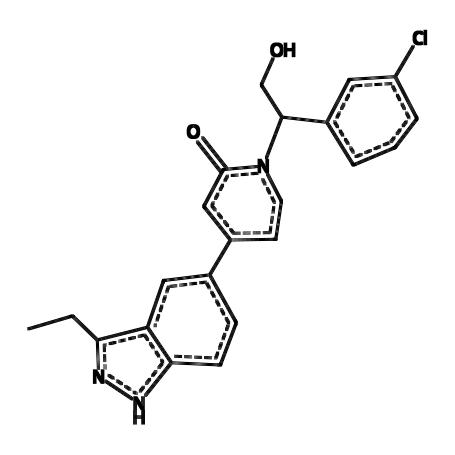 CCc1n[nH]c2ccc(-c3ccn(C(CO)c4cccc(Cl)c4)c(=O)c3)cc12